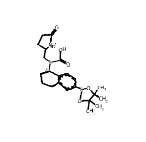 CC1(C)OB(c2ccc3c(c2)CCC[C@H]3N(CC2CCC(=O)N2)C(=O)O)OC1(C)C